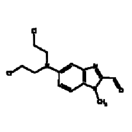 Cn1c(C=O)nc2cc(N(CCCl)CCCl)ccc21